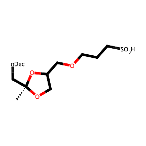 CCCCCCCCCCC[C@]1(C)OCC(COCCCS(=O)(=O)O)O1